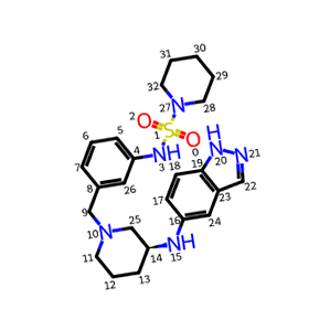 O=S(=O)(Nc1cccc(CN2CCC[C@H](Nc3ccc4[nH]ncc4c3)C2)c1)N1CCCCC1